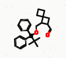 CC(C)(C)[Si](OCC1C(C=O)CC12CCC2)(c1ccccc1)c1ccccc1